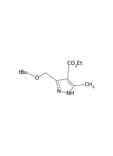 CCOC(=O)c1c(COC(C)(C)C)n[nH]c1C